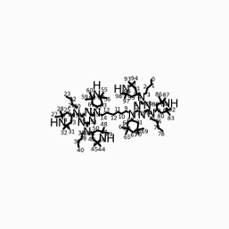 CCCCN(c1nc(N(CCCCCCN(c2nc(N(CCCC)C3CC(C)(C)NC(C)(C)C3)nc(N(CCCC)C3CC(C)(C)NC(C)(C)C3)n2)C2CC(C)(C)NC(C)(C)C2)C2CC(C)(C)CC(C)(C)C2)nc(N(CCCC)C2CC(C)(C)NC(C)(C)C2)n1)C1CC(C)(C)NC(C)(C)C1